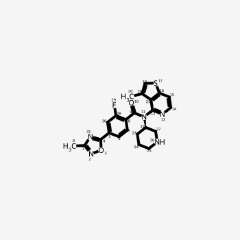 Cc1noc(-c2ccc(C(=O)N(c3nccc4scc(C)c34)[C@@H]3CCCNC3)c(F)c2)n1